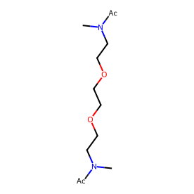 CC(=O)N(C)CCOCCOCCN(C)C(C)=O